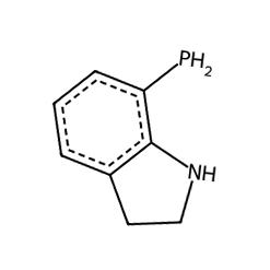 Pc1cccc2c1NCC2